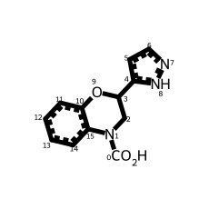 O=C(O)N1CC(c2ccn[nH]2)Oc2ccccc21